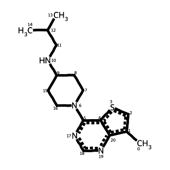 Cc1csc2c(N3CCC(NCC(C)C)CC3)ncnc12